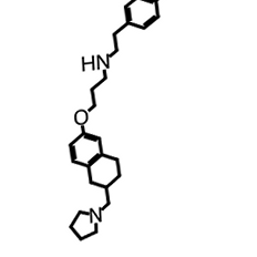 Fc1ccc(CCNCCCOc2ccc3c(c2)CCC(CN2CCCC2)C3)cc1